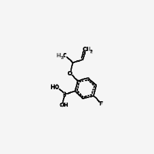 C=CC(C)Oc1ccc(F)cc1B(O)O